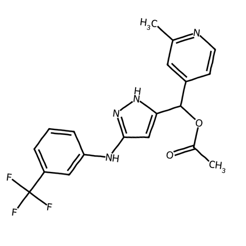 CC(=O)OC(c1ccnc(C)c1)c1cc(Nc2cccc(C(F)(F)F)c2)n[nH]1